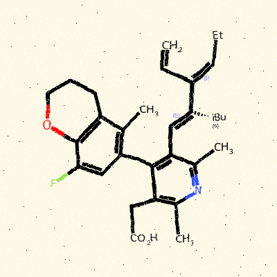 C=CC(=C\CC)/C(=C/c1c(C)nc(C)c(CC(=O)O)c1-c1cc(F)c2c(c1C)CCCO2)[C@@H](C)CC